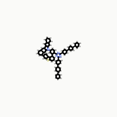 c1ccc(-c2ccc(-c3ccc(-c4nc(-c5ccc(-c6ccc(-c7ccccc7)cc6)cc5)nc(-c5ccc(-n6c7cc8ccccc8cc7c7cc8ccccc8cc76)cc5-c5cccc6sc7ccccc7c56)n4)cc3)cc2)cc1